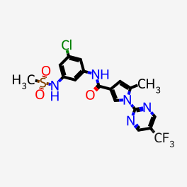 Cc1cc(C(=O)Nc2cc(Cl)cc(NS(C)(=O)=O)c2)cn1-c1ncc(C(F)(F)F)cn1